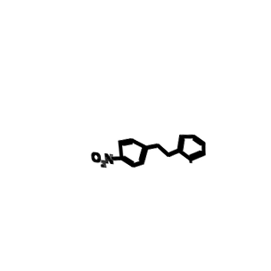 O=[N+]([O-])c1ccc(CCc2[c]cccc2)cc1